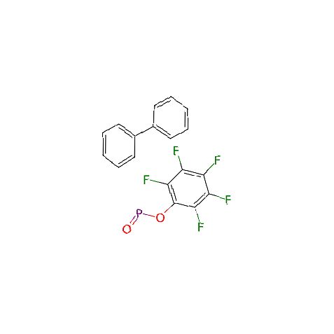 O=POc1c(F)c(F)c(F)c(F)c1F.c1ccc(-c2ccccc2)cc1